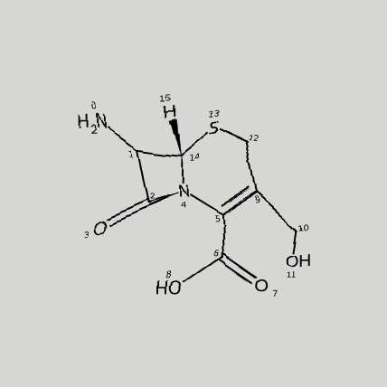 NC1C(=O)N2C(C(=O)O)=C(CO)CS[C@@H]12